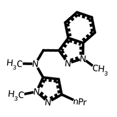 CCCc1cc(N(C)Cc2nn(C)c3ccccc23)n(C)n1